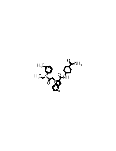 CCN(C(=O)Cn1c(C(=O)NC2CCC(C(N)=O)CC2)cc2sccc21)c1cccc(C)c1